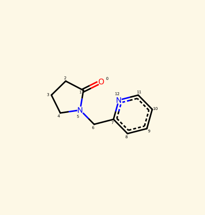 O=C1CCCN1Cc1ccccn1